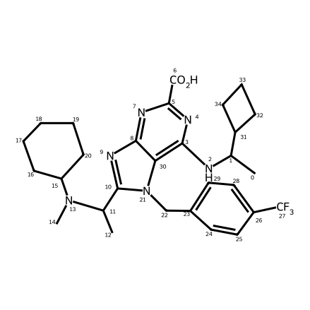 CC(Nc1nc(C(=O)O)nc2nc(C(C)N(C)C3CCCCC3)n(Cc3ccc(C(F)(F)F)cc3)c12)C1CCC1